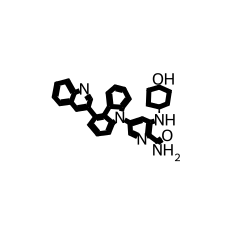 NC(=O)c1ncc(-n2c3ccccc3c3c(-c4cnc5ccccc5c4)cccc32)cc1N[C@H]1CC[C@H](O)CC1